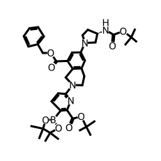 CC(C)(C)OC(=O)N[C@H]1CCN(c2cc3c(c(C(=O)OCc4ccccc4)c2)CN(c2ccc(B4OC(C)(C)C(C)(C)O4)c(C(=O)OC(C)(C)C)n2)CC3)C1